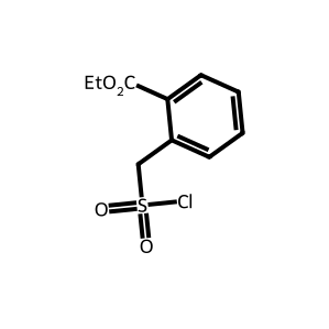 CCOC(=O)c1ccccc1CS(=O)(=O)Cl